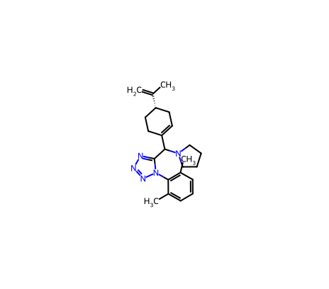 C=C(C)[C@@H]1CC=C(C(c2nnnn2-c2c(C)cccc2C)N2CCCC2)CC1